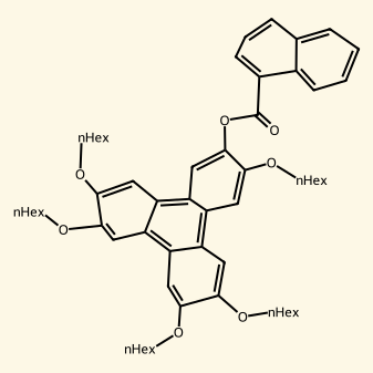 CCCCCCOc1cc2c3cc(OCCCCCC)c(OCCCCCC)cc3c3cc(OC(=O)c4cccc5ccccc45)c(OCCCCCC)cc3c2cc1OCCCCCC